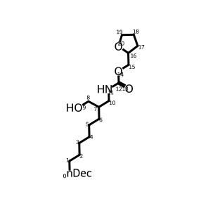 CCCCCCCCCCCCCCCCC(CO)CNC(=O)OCC1CCCO1